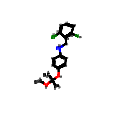 CC(C)(OC=O)Oc1ccc(NCc2c(F)cccc2Cl)cc1